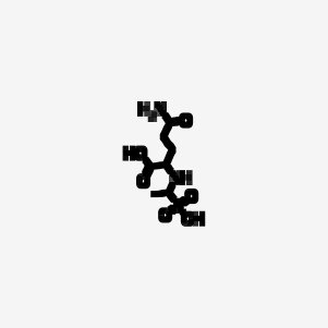 CC(NC(CCC(N)=O)C(=O)O)S(=O)(=O)O